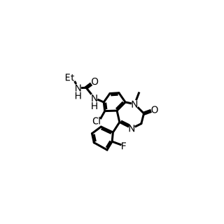 CCNC(=O)Nc1ccc2c(c1Cl)C(c1ccccc1F)=NCC(=O)N2C